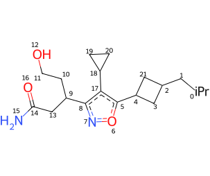 CC(C)CC1CC(c2onc(C(CCO)CC(N)=O)c2C2CC2)C1